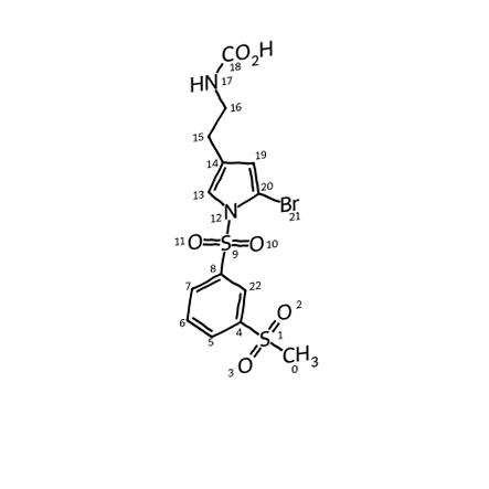 CS(=O)(=O)c1cccc(S(=O)(=O)n2cc(CCNC(=O)O)cc2Br)c1